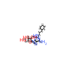 Nc1nc(NCCCC2CCCCC2)nc2c1ncn2[C@@H]1O[C@H](CO)C(O)C1O